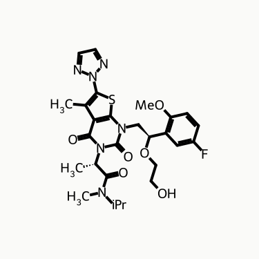 COc1ccc(F)cc1[C@H](Cn1c(=O)n([C@@H](C)C(=O)N(C)C(C)C)c(=O)c2c(C)c(-n3nccn3)sc21)OCCO